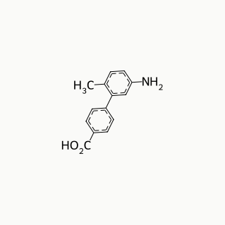 Cc1ccc(N)cc1-c1ccc(C(=O)O)cc1